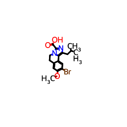 COc1cc2c(cc1Br)-c1c(CC(C)C)nc(C(=O)O)n1CC2